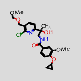 COCOCc1ccc(C(O)(CNC(=O)c2ccc(OC3CC3)c(OC)c2)C(F)(F)F)nc1Cl